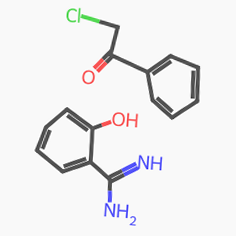 N=C(N)c1ccccc1O.O=C(CCl)c1ccccc1